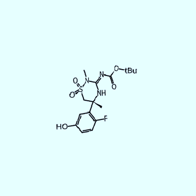 CN1/C(=N/C(=O)OC(C)(C)C)N[C@](C)(c2cc(O)ccc2F)CS1(=O)=O